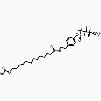 CCC(C)C(=O)OCCCCCCCCCCCCC(=O)NCCc1ccc(OS(=O)(=O)C(F)(F)C(F)(F)C(F)(F)S(=O)(=O)O)cc1